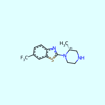 C[C@@H]1CNCCN1c1nc2ccc(C(F)(F)F)cc2s1